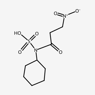 O=C(CC[N+](=O)[O-])N(C1CCCCC1)S(=O)(=O)O